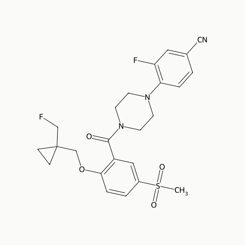 CS(=O)(=O)c1ccc(OCC2(CF)CC2)c(C(=O)N2CCN(c3ccc(C#N)cc3F)CC2)c1